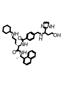 C[C@H](NC(=O)[C@H](CCCNC1CCCCC1)NC(=O)c1ccc(CNC(CCO)c2ncc[nH]2)cc1)c1cccc2ccccc12